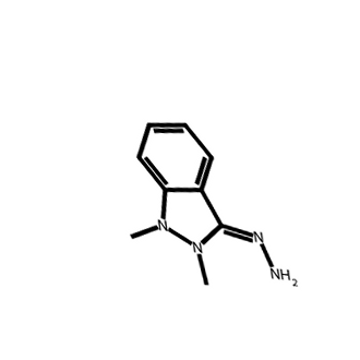 Cn1/c(=N\N)c2ccccc2n1C